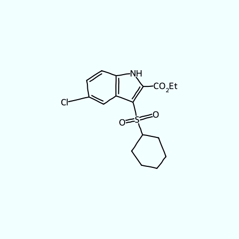 CCOC(=O)c1[nH]c2ccc(Cl)cc2c1S(=O)(=O)C1CCCCC1